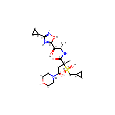 CC[C@H](NC(=O)[C@@](C)(CC(=O)N1CCOCC1)S(=O)(=O)CC1CC1)C(=O)c1nc(C2CC2)no1